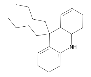 CCCCC1(CCCC)C2=CCCC=C2NC2CCC=CC21